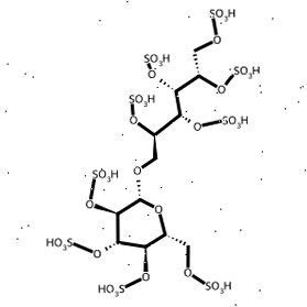 O=S(=O)(O)OC[C@H](OS(=O)(=O)O)[C@@H](OS(=O)(=O)O)[C@H](OS(=O)(=O)O)[C@@H](CO[C@@H]1O[C@H](COS(=O)(=O)O)[C@@H](OS(=O)(=O)O)[C@H](OS(=O)(=O)O)[C@H]1OS(=O)(=O)O)OS(=O)(=O)O